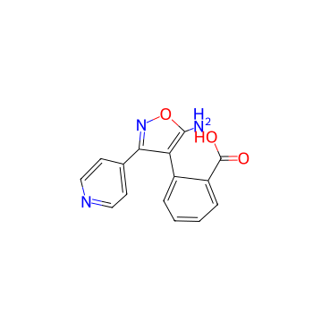 Nc1onc(-c2ccncc2)c1-c1ccccc1C(=O)O